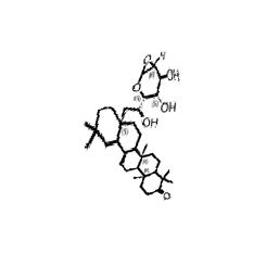 CC1(C)CC[C@]2(CC(O)[C@@H]3OC4O[C@@H]4C(O)[C@@H]3O)CCC3C(=CCC4[C@@]3(C)CCC3C(C)(C)C(=O)CC[C@@]34C)C2C1